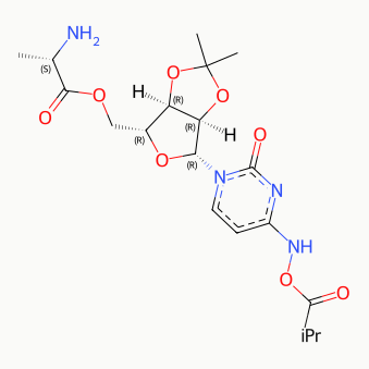 CC(C)C(=O)ONc1ccn([C@@H]2O[C@H](COC(=O)[C@H](C)N)[C@H]3OC(C)(C)O[C@H]32)c(=O)n1